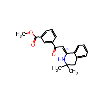 COC(=O)c1cccc(C(=O)/C=C2\NC(C)(C)Cc3ccccc32)c1